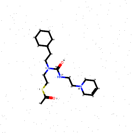 CC(=O)SCCN(CCC1CCCCC1)C(=O)NCCN1CC=CCC1